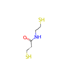 O=C(CCS)NCCS